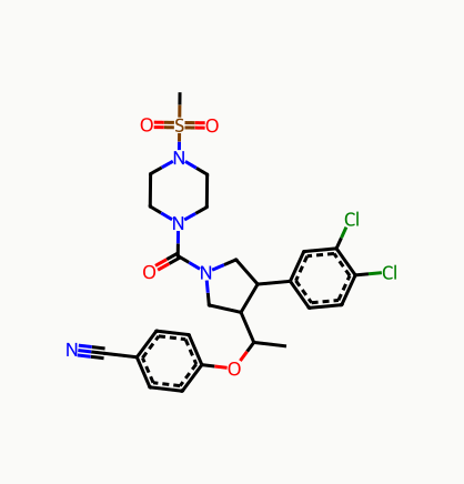 CC(Oc1ccc(C#N)cc1)C1CN(C(=O)N2CCN(S(C)(=O)=O)CC2)CC1c1ccc(Cl)c(Cl)c1